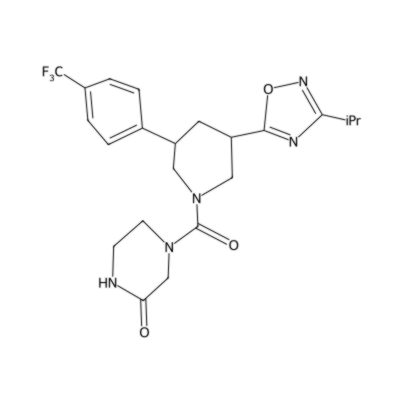 CC(C)c1noc(C2CC(c3ccc(C(F)(F)F)cc3)CN(C(=O)N3CCNC(=O)C3)C2)n1